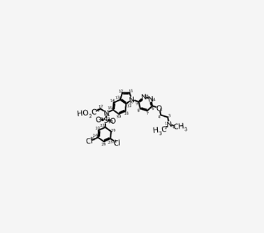 CN(C)CCOc1ccc(-n2ccc3cc(N(CC(=O)O)S(=O)(=O)C4C=C(Cl)C=C(Cl)C4)ccc32)nn1